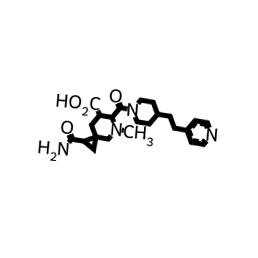 CN1CC2(CC(C(=O)O)C1C(=O)N1CCC(CCc3ccncc3)CC1)CC2C(N)=O